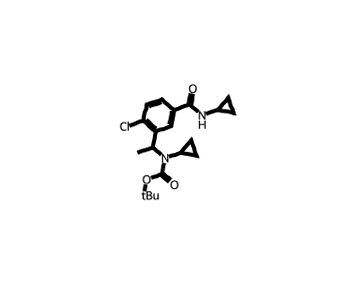 CC(c1cc(C(=O)NC2CC2)ccc1Cl)N(C(=O)OC(C)(C)C)C1CC1